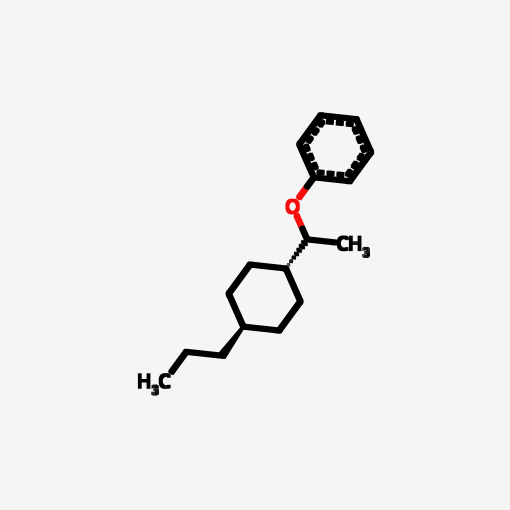 CCC[C@H]1CC[C@H](C(C)Oc2ccccc2)CC1